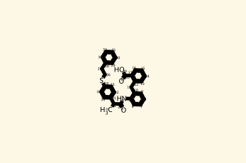 CC(C(=O)Nc1ccccc1Cc1ccccc1C(=O)O)c1ccc(SCCc2ccccc2)cc1